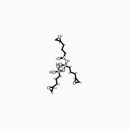 O=S(CCCC1CO1)O[Si](O)(CCCC1CO1)O[Si](O)(O)CCCC1CO1